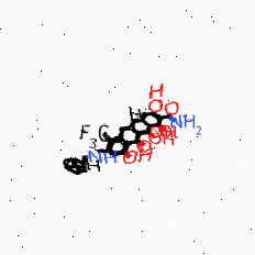 CC1(C)C2CC[C@H](CNCc3cc(O)c4c(c3C(F)(F)F)CC3C[C@H]5CC(O)=C(C(N)=O)C(=O)[C@@]5(O)C(O)=C3C4=O)C1C2